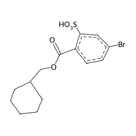 O=C(OCC1CCCCC1)c1ccc(Br)cc1S(=O)(=O)O